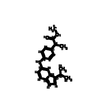 COC(=O)C(C)c1ccc(Sc2ccc3nnc(C(C)C)n3c2)cc1